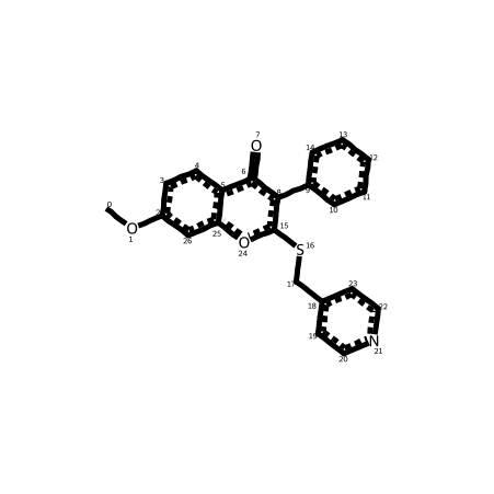 COc1ccc2c(=O)c(-c3ccccc3)c(SCc3ccncc3)oc2c1